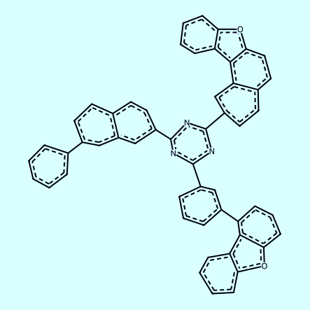 c1ccc(-c2ccc3ccc(-c4nc(-c5cccc(-c6cccc7oc8ccccc8c67)c5)nc(-c5ccc6ccc7oc8ccccc8c7c6c5)n4)cc3c2)cc1